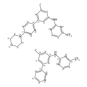 Cc1cc(Nc2nccc(C(F)(F)F)n2)cc(-c2ccc(N3CCOCC3)nn2)c1.Cc1cc(Nc2nccc(C(F)(F)F)n2)cc(-c2cccnn2)c1